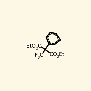 CCOC(=O)C(C(=O)OCC)(c1ccccc1)C(F)(F)F